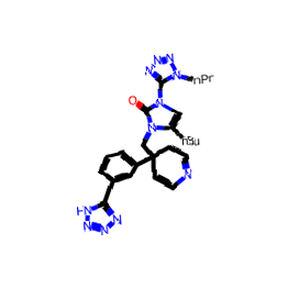 CCCCc1cn(-c2nnnn2CCC)c(=O)n1CC1(c2cccc(-c3nnn[nH]3)c2)C=CN=CC1